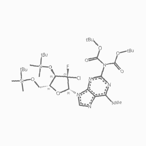 CNc1nc(N(C(=O)OC(C)(C)C)C(=O)OC(C)(C)C)nc2c1ncn2[C@@H]1O[C@H](CO[Si](C)(C)C(C)(C)C)[C@@H](O[Si](C)(C)C(C)(C)C)[C@]1(F)Cl